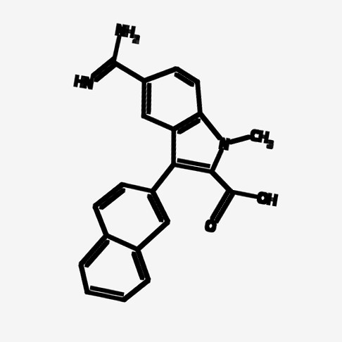 Cn1c(C(=O)O)c(-c2ccc3ccccc3c2)c2cc(C(=N)N)ccc21